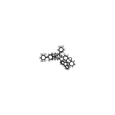 C1=CC2OC3CCCCC3C3(C2CC1)C1CC(C2N=C(C4=CCCCC4)NC(C4=CCC(C5CCCCC5)CC4)N2)C=CC1C1CCCCC13